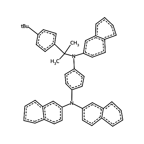 CC(C)(C)c1ccc(C(C)(C)N(c2ccc(N(c3ccc4ccccc4c3)c3ccc4ccccc4c3)cc2)c2ccc3ccccc3c2)cc1